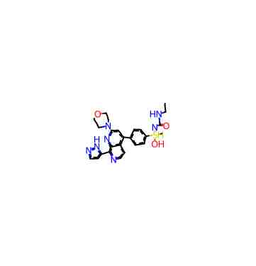 CCNC(=O)N=[SH](C)(O)c1ccc(-c2cc(N3CCOCC3)nc3c(-c4ccn[nH]4)nccc23)cc1